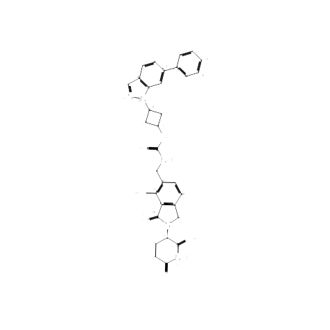 O=C1CC[C@@H](N2Cc3ccc(CNC(=O)OC4CC(n5ncc6ccc(-c7ccccc7)cc65)C4)c(F)c3C2=O)C(=O)N1